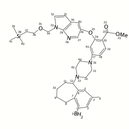 Bc1cc(C)cc2c1CCCCC2N1CCN(c2ccc(C(=O)OC)c(Oc3cnc4c(ccn4COCC[Si](C)(C)C)c3)c2)CC1